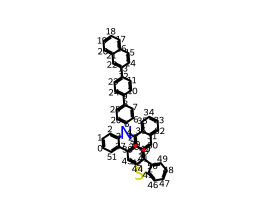 c1ccc(N(c2ccc(-c3ccc(-c4ccc5ccccc5c4)cc3)cc2)c2cccc3ccccc23)c(-c2ccc3c(c2)sc2ccccc23)c1